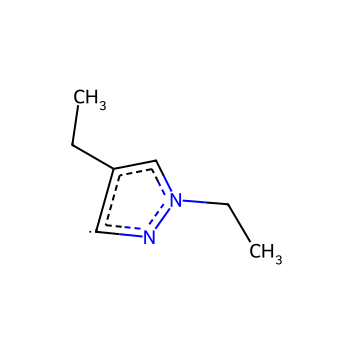 CCc1[c]nn(CC)c1